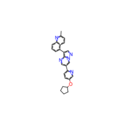 Cc1ccc2c(-c3cnn4cc(-c5ccc(OC6CCCC6)cn5)cnc34)cccc2n1